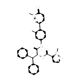 Cn1nccc1C(=O)N[C@H](C(=O)Nc1ccc(-c2ccc(=O)n(C)n2)c(F)c1)C(c1ccccc1)c1ccccc1